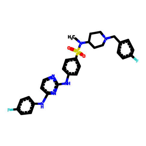 CN(C1CCN(Cc2ccc(F)cc2)CC1)S(=O)(=O)c1ccc(Nc2nccc(Nc3ccc(F)cc3)n2)cc1